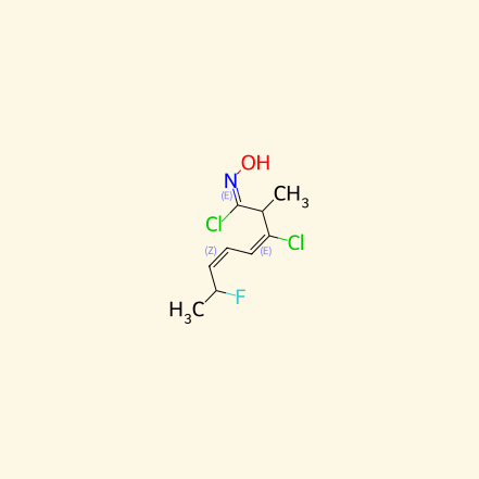 CC(F)/C=C\C=C(\Cl)C(C)/C(Cl)=N\O